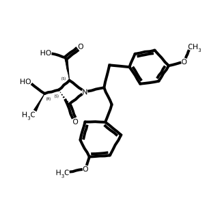 COc1ccc(CC(Cc2ccc(OC)cc2)N2C(=O)[C@H]([C@@H](C)O)[C@H]2C(=O)O)cc1